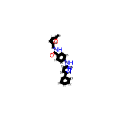 Cc1ccc(CNC(=O)c2ccc(Nc3ccc(-c4ccccc4)nn3)cc2)o1